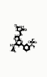 CN(c1cccc(-c2cc(NC3CC3)n3ncc(C=C4CC(=O)NC4=O)c3n2)c1)S(C)(=O)=O